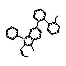 C/C=C\c1c(C)c2ccc(-c3ccccc3-c3ccccc3Br)cc2n1-c1ccccc1